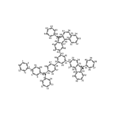 c1ccc(-c2ccc(N(c3ccccc3)c3ccc(-c4cc(-c5ccc6c(c5)c5ccccc5n6-c5ccccc5)cc(-c5ccc6c(c5)c5c7ccccc7ccc5n6-c5ccccc5)c4)cc3)cc2)cc1